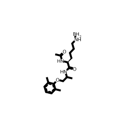 BNCCCC[C@H](NC(C)=O)C(=O)NC(C)COc1c(C)cccc1C